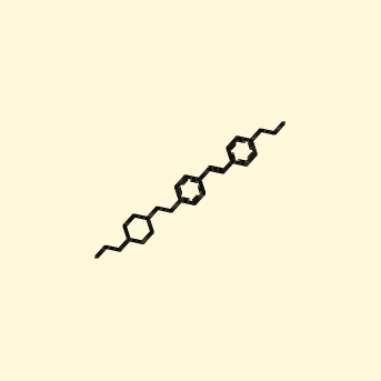 CCCc1ccc(C=Cc2ccc(CCC3CCC(CCC)CC3)cc2)cc1